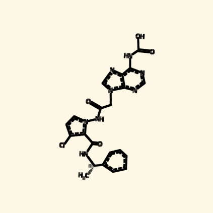 C[C@H](NC(=O)c1c(Cl)ccn1NC(=O)Cn1cnc2c(NC(=O)O)ncnc21)c1ccccc1